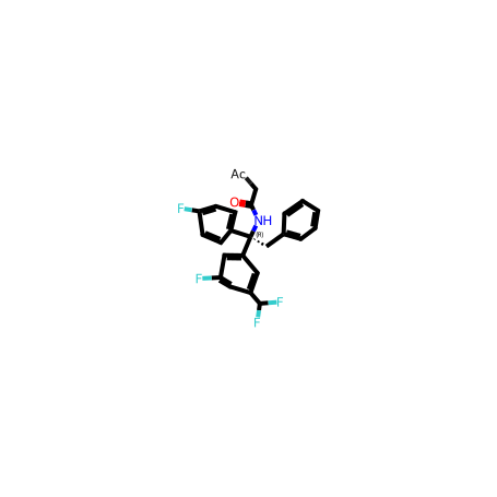 CC(=O)CC(=O)N[C@](Cc1ccccc1)(c1ccc(F)cc1)c1cc(F)cc(C(F)F)c1